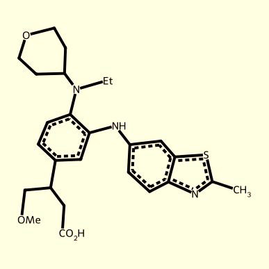 CCN(c1ccc(C(COC)CC(=O)O)cc1Nc1ccc2nc(C)sc2c1)C1CCOCC1